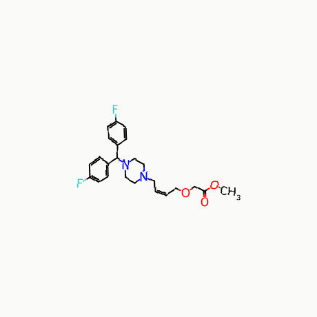 COC(=O)COC/C=C\CN1CCN(C(c2ccc(F)cc2)c2ccc(F)cc2)CC1